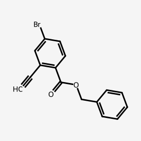 C#Cc1cc(Br)ccc1C(=O)OCc1ccccc1